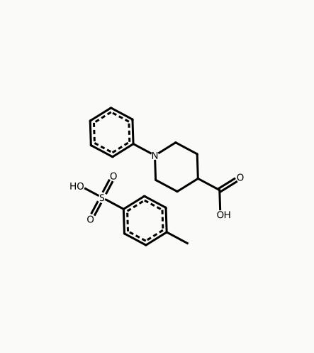 Cc1ccc(S(=O)(=O)O)cc1.O=C(O)C1CCN(c2ccccc2)CC1